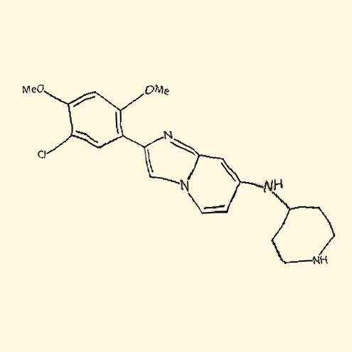 COc1cc(OC)c(-c2cn3ccc(NC4CCNCC4)cc3n2)cc1Cl